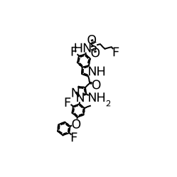 Cc1cc(Oc2ccccc2F)cc(F)c1-n1ncc(C(=O)c2cc3cc(F)c(NS(=O)(=O)CCCF)cc3[nH]2)c1N